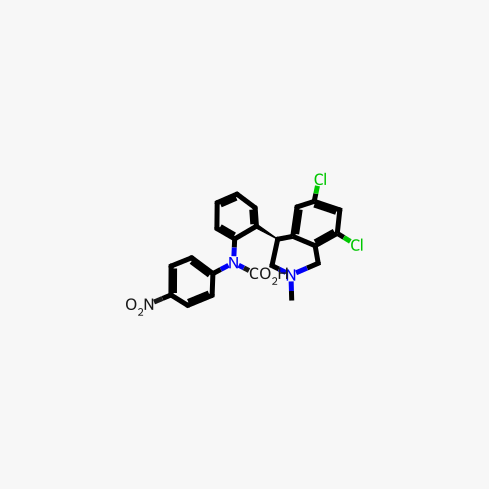 CN1Cc2c(Cl)cc(Cl)cc2[C@H](c2ccccc2N(C(=O)O)c2ccc([N+](=O)[O-])cc2)C1